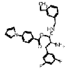 CCc1cccc(CNC[C@@H](OC(=O)c2ccc(-n3cccc3)cc2)[C@@H](N)Cc2cc(F)cc(F)c2)c1